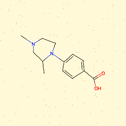 CC1CN(C)CCN1c1ccc(C(=O)O)cc1